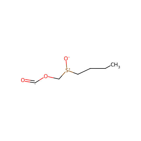 CCCC[S+]([O-])CO[C]=O